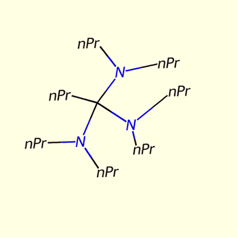 [CH2]CCC(N(CCC)CCC)(N(CCC)CCC)N(CCC)CCC